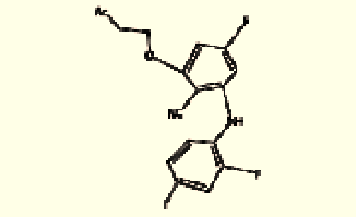 CC(=O)CCOc1cc(F)cc(Nc2ccc(I)cc2F)c1C#N